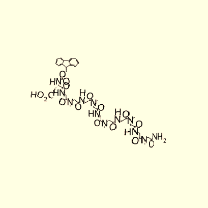 CN(CC(N)=O)C(=O)CNC(=O)CN(C)C(=O)CNC(=O)CN(C)C(=O)CNC(=O)CN(C)C(=O)CNC(=O)CN(C)C(=O)CNC(=O)[C@H](CCC(=O)O)NC(=O)OCC1c2ccccc2-c2ccccc21